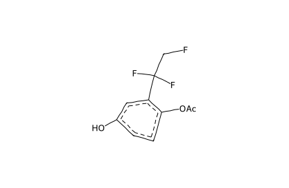 CC(=O)Oc1ccc(O)cc1C(F)(F)CF